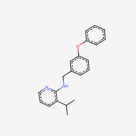 CC(C)c1cccnc1NCc1cccc(Oc2ccccc2)c1